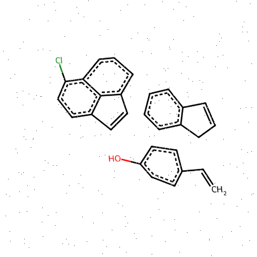 C1=Cc2ccccc2C1.C=Cc1ccc(O)cc1.Clc1ccc2c3c(cccc13)C=C2